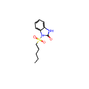 CCCCCS(=O)(=O)n1c(=O)[nH]c2ccccc21